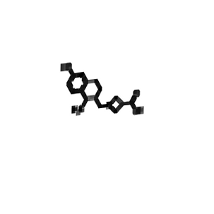 CC1=C(CN2CC(C(=O)O)C2)CCc2cc(O)ccc21